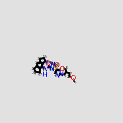 COCCC1COc2c(S(N)(=O)=NC(=O)Nc3c4c(cc5c3CCC5)CCC4)cnn2C1